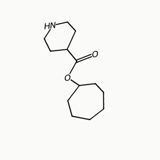 O=C(OC1CCCCCC1)C1CCNCC1